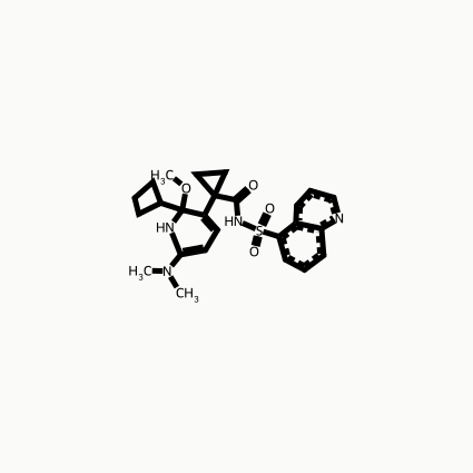 COC1(C2CCC2)NC(N(C)C)=CC=C1C1(C(=O)NS(=O)(=O)c2cccc3ncccc23)CC1